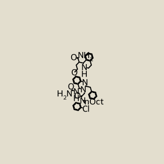 CCCCCCCCN(C(=O)CN1C(Cc2ccccc2)=Nc2cc(OCCC(C(N)=O)C3NCCc4ccccc43)ccc2C1NC(N)=O)c1ccccc1Cl